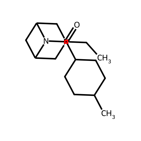 CCN1CC2CC(C1)N2C(=O)C1CCC(C)CC1